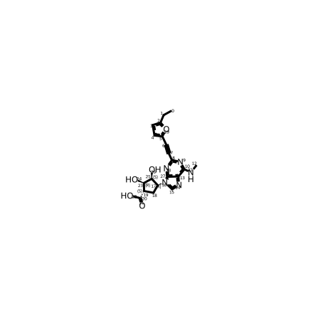 CCc1ccc(C#Cc2nc(NC)c3ncn([C@@H]4C[C@H](C(=O)O)[C@@H](O)[C@H]4O)c3n2)o1